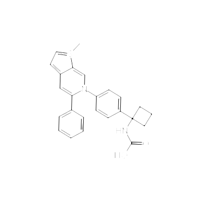 CS1=CC=C2C=C(c3ccccc3)N(c3ccc(C4(NC(=O)O)CCC4)cc3)C=C21